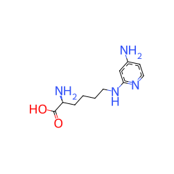 Nc1ccnc(NCCCC[C@H](N)C(=O)O)c1